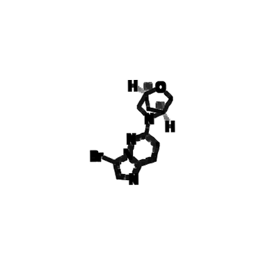 Brc1cnc2ccc(N3C[C@@H]4C[C@H]3CO4)nn12